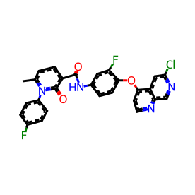 Cc1ccc(C(=O)Nc2ccc(Oc3ccnc4cnc(Cl)cc34)c(F)c2)c(=O)n1-c1ccc(F)cc1